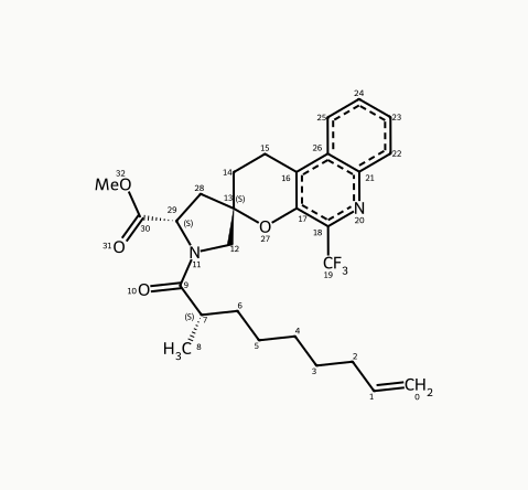 C=CCCCCC[C@H](C)C(=O)N1C[C@]2(CCc3c(c(C(F)(F)F)nc4ccccc34)O2)C[C@H]1C(=O)OC